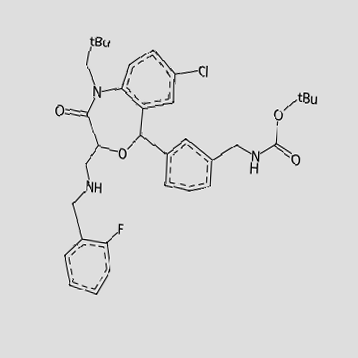 CC(C)(C)CN1C(=O)C(CNCc2ccccc2F)OC(c2cccc(CNC(=O)OC(C)(C)C)c2)c2cc(Cl)ccc21